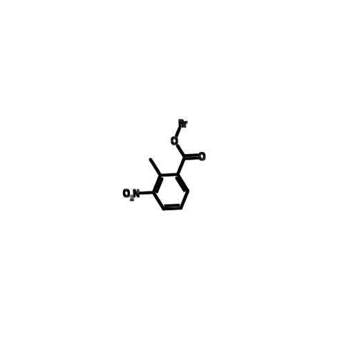 Cc1c(C(=O)OBr)cccc1[N+](=O)[O-]